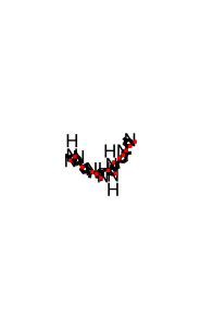 Cc1cc(-c2[nH]c3cc(-c4cnc5c(c4)CNCC5Cc4cc(-c5[nH]c6cc(-c7cnc8[nH]c(C)nc8c7)ccc6c5C)cc(C)n4)ccc3c2C)cc(C)n1